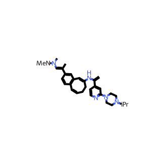 C=C(N/C1=C/c2cc(/C(C)=C/N(C)NC)ccc2/C=C\CC1)c1ccnc(N2CCN(C(C)C)CC2)c1